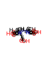 CC1(C)C(/C=C/C=C/C=C2\N(CCCCCC(=O)O)c3ccc(S(=O)(=O)O)cc3C2(C)C)=Nc2ccc(S(=O)(=O)O)cc21